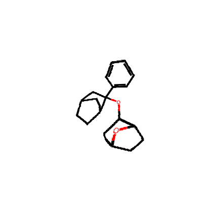 c1ccc(C2(OC3CC4CCC3O4)CC3CCC2C3)cc1